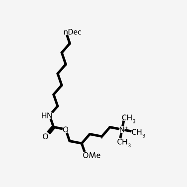 CCCCCCCCCCCCCCCCCNC(=O)OCC(C[CH]C[N+](C)(C)C)OC